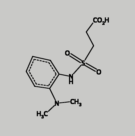 CN(C)c1ccccc1NS(=O)(=O)CCC(=O)O